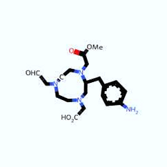 COC(=O)CN1CCN(CC=O)CCN(CC(=O)O)CC1Cc1ccc(N)cc1